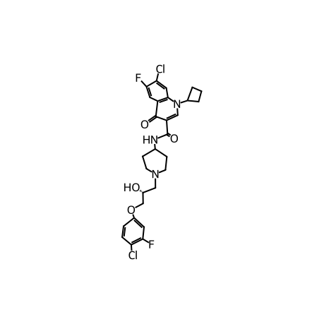 O=C(NC1CCN(C[C@@H](O)COc2ccc(Cl)c(F)c2)CC1)c1cn(C2CCC2)c2cc(Cl)c(F)cc2c1=O